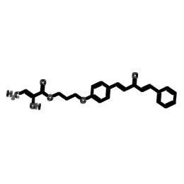 CC=C(O)C(=O)OCCCOc1ccc(C=CC(=O)C=Cc2ccccc2)cc1